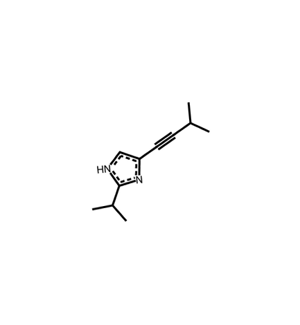 CC(C)C#Cc1c[nH]c(C(C)C)n1